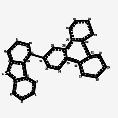 c1ccc2c(c1)sc1cccc(-c3ccc4c5ccccc5c5ccccc5c4c3)c12